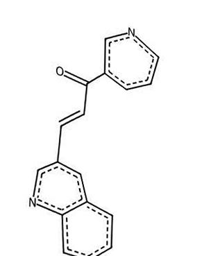 O=C(C=Cc1cnc2ccccc2c1)c1cccnc1